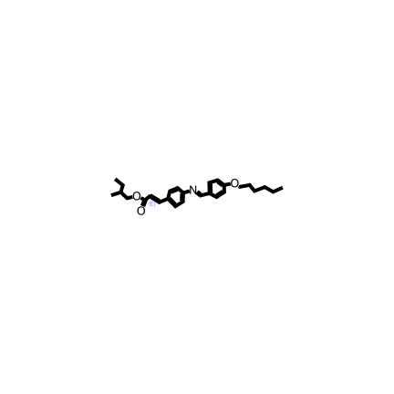 CCCCCCOc1ccc(C=Nc2ccc(/C=C/C(=O)OCC(C)CC)cc2)cc1